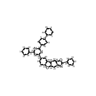 c1ccc(-c2ccc(-c3nc(-c4ccccc4)nc(-c4ccc5oc6cc7nc(-c8ccccc8)oc7cc6c5c4)n3)cc2)cc1